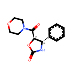 O=C1N[C@@H](c2ccccc2)[C@H](C(=O)N2CCOCC2)O1